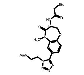 CNCCn1nnnc1-c1ccc2c(c1)N(C)C(=O)[C@@H](NC(=O)CC(C)(C)C)CO2